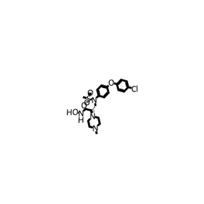 CN1CCN([C@@H](CN(c2ccc(Oc3ccc(Cl)cc3)cc2)S(C)(=O)=O)C(=O)NO)CC1